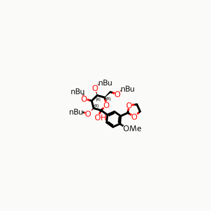 CCCCOC[C@H]1OC(O)(c2ccc(OC)c(C3OCCO3)c2)[C@H](OCCCC)C(OCCCC)[C@@H]1OCCCC